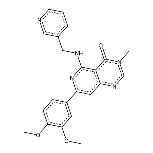 COc1ccc(-c2cc3ncn(C)c(=O)c3c(NCc3cccnc3)n2)cc1OC